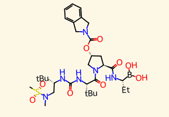 CC[C@H](NC(=O)[C@@H]1C[C@@H](OC(=O)N2Cc3ccccc3C2)CN1C(=O)[C@@H](NC(=O)N[C@H](CN(C)S(C)(=O)=O)C(C)(C)C)C(C)(C)C)B(O)O